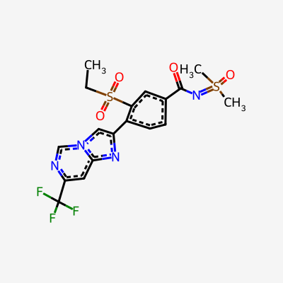 CCS(=O)(=O)c1cc(C(=O)N=S(C)(C)=O)ccc1-c1cn2cnc(C(F)(F)F)cc2n1